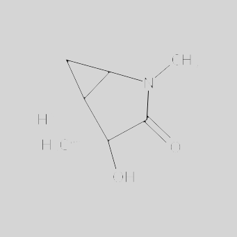 CN1C(=O)[C@@](C)(O)[C@H]2CC21